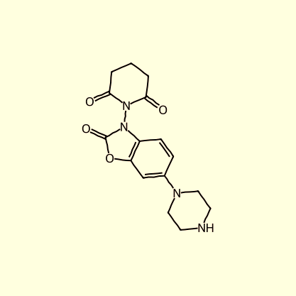 O=C1CCCC(=O)N1n1c(=O)oc2cc(N3CCNCC3)ccc21